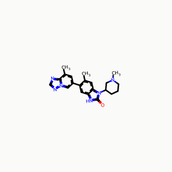 Cc1cc2c(cc1-c1cc(C)c3ncnn3c1)[nH]c(=O)n2C1CCCN(C)C1